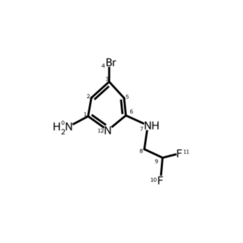 Nc1cc(Br)cc(NCC(F)F)n1